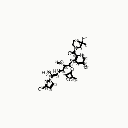 CCN(CC(C)(C)F)C(=O)c1ncc(Br)cc1SC(OC1COC1C)C(CN/C=C(\N)n1ccc(Cl)n1)OC